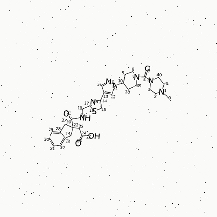 CN1CCN(C(=O)N2CCC(n3cc(-c4csc(CNC(=O)C5(CC(=O)O)Cc6ccccc6C5)n4)cn3)CC2)CC1